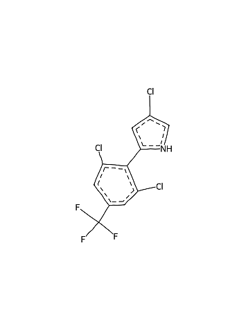 FC(F)(F)c1cc(Cl)c(-c2cc(Cl)c[nH]2)c(Cl)c1